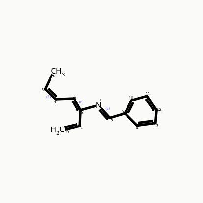 C=CC(=C\C=C/C)/N=C/c1ccccc1